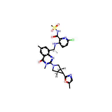 Cc1cc([C@@H](C)Nc2ccc(Cl)nc2C(=O)NS(C)(=O)=O)c2nc(N3C[C@@H]4C(c5ncc(C)o5)[C@@H]4C3)n(C)c(=O)c2c1